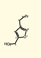 CC(C)Cc1cc(CO)on1